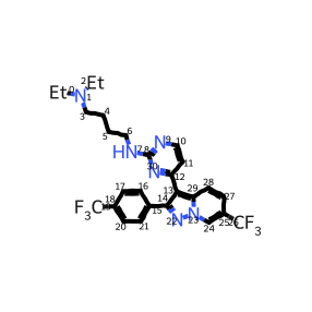 CCN(CC)CCCCNc1nccc(-c2c(-c3ccc(C(F)(F)F)cc3)nn3cc(C(F)(F)F)ccc23)n1